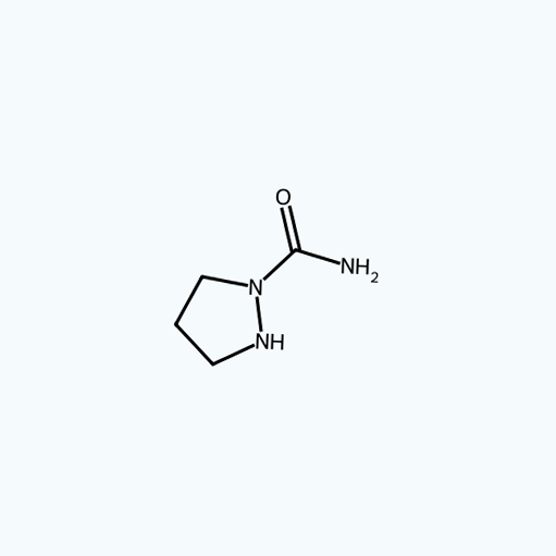 NC(=O)N1CCCN1